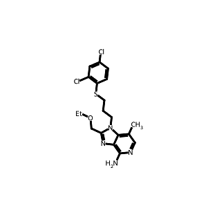 CCOCc1nc2c(N)ncc(C)c2n1CCCSc1ccc(Cl)cc1Cl